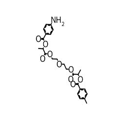 Cc1ccc(C(=O)OC(C)C(=O)OCCOCCOC(=O)C(C)OC(=O)c2ccc(N)cc2)cc1